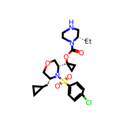 CC[C@H]1CNCCN1C(=O)OC1([C@H]2COC[C@@H](CC3CC3)N2S(=O)(=O)c2ccc(Cl)cc2)CC1